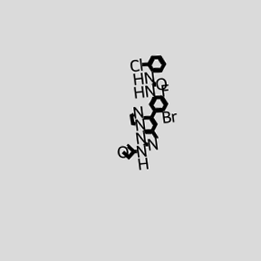 O=C(Nc1cc(C2=Cc3cnc(NC4COC4)nc3N3CCN=C23)c(Br)cc1F)Nc1ccccc1Cl